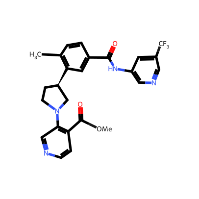 COC(=O)c1ccncc1N1CC[C@@H](c2cc(C(=O)Nc3cncc(C(F)(F)F)c3)ccc2C)C1